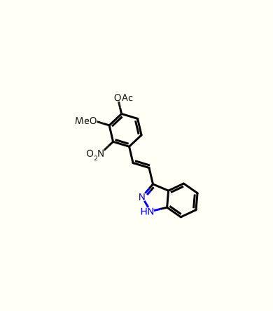 COc1c(OC(C)=O)ccc(/C=C/c2n[nH]c3ccccc23)c1[N+](=O)[O-]